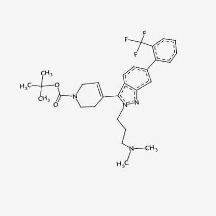 CN(C)CCCn1nc2cc(-c3ccccc3C(F)(F)F)ccc2c1C1=CCN(C(=O)OC(C)(C)C)CC1